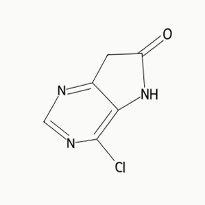 O=C1Cc2ncnc(Cl)c2N1